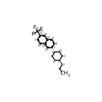 CCC[C@H]1CC[C@H](c2ccc3cc(C(F)(F)F)ccc3c2)CC1